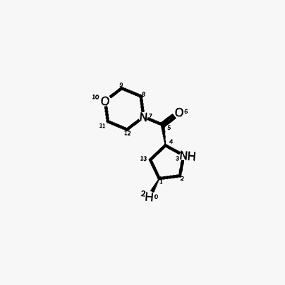 [2H][C@@H]1CN[C@H](C(=O)N2CCOCC2)C1